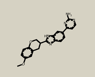 COc1ccc2c(c1)CC(c1nc3ccc(-c4ccnc(N)n4)cc3[nH]1)CO2